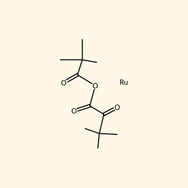 CC(C)(C)C(=O)OC(=O)C(=O)C(C)(C)C.[Ru]